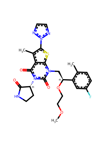 COCCO[C@@H](Cn1c(=O)n([C@@H]2CCNC2=O)c(=O)c2c(C)c(-n3nccn3)sc21)c1cc(F)ccc1C